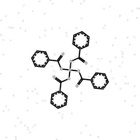 O=C(O[Si](OC(=O)c1ccccc1)(OC(=O)c1ccccc1)OC(=O)c1ccccc1)c1ccccc1